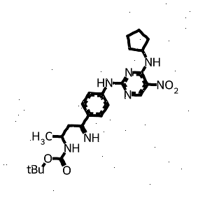 CC(CC(=N)c1ccc(Nc2ncc([N+](=O)[O-])c(NC3CCCC3)n2)cc1)NC(=O)OC(C)(C)C